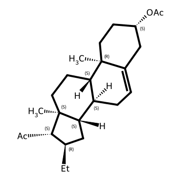 CC[C@@H]1C[C@H]2[C@@H]3CC=C4C[C@@H](OC(C)=O)CC[C@]4(C)[C@H]3CC[C@]2(C)[C@H]1C(C)=O